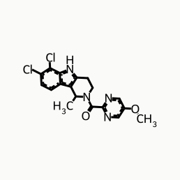 COc1cnc(C(=O)N2CCc3[nH]c4c(Cl)c(Cl)ccc4c3C2C)nc1